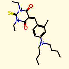 CCCCN(CCCC)c1ccc(C=C2C(=O)N(CC)C(=S)N(CC)C2=O)c(C)c1